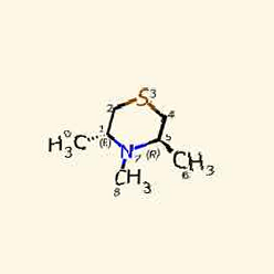 C[C@@H]1CSC[C@@H](C)N1C